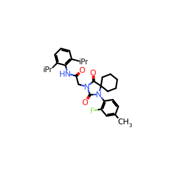 Cc1ccc(N2C(=O)N(CC(=O)Nc3c(C(C)C)cccc3C(C)C)C(=O)C23CCCCC3)c(F)c1